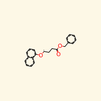 O=C(CC[CH]Oc1cccc2ccccc12)OCc1ccccc1